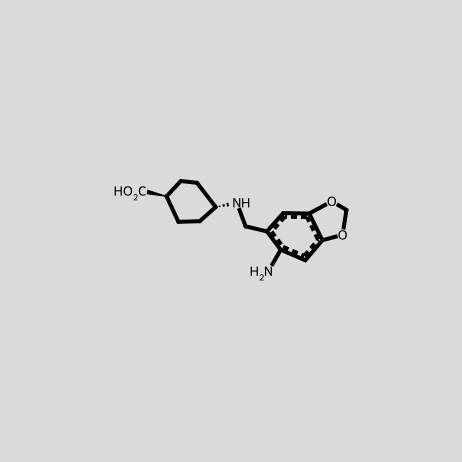 Nc1cc2c(cc1CN[C@H]1CC[C@H](C(=O)O)CC1)OCO2